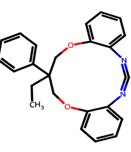 CCC1(c2ccccc2)COc2ccccc2N=C=Nc2ccccc2OC1